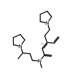 C=C/C(=C\C(=C)N(C)CCC(C)N1CCCC1)CCN1CCCC1